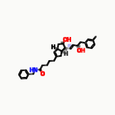 Cc1cccc(C[C@H](O)/C=C/[C@@H]2[C@H]3CC(CCCCC(=O)NCc4ccccc4)=C[C@H]3C[C@H]2O)c1